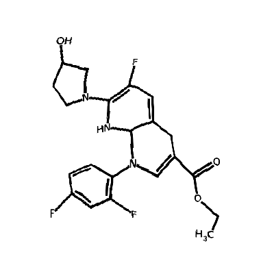 CCOC(=O)C1=CN(c2ccc(F)cc2F)C2NC(N3CCC(O)C3)=C(F)C=C2C1